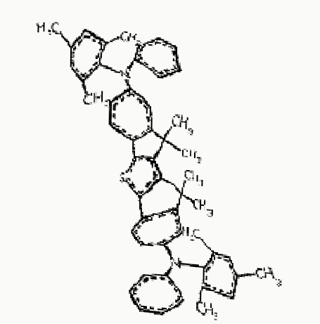 Cc1cc(C)c(N(c2ccccc2)c2ccc3c(c2)C(C)(C)c2c-3sc3c2C(C)(C)c2cc(N(c4ccccc4)c4c(C)cc(C)cc4C)ccc2-3)c(C)c1